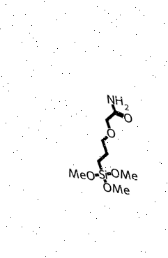 CO[Si](CCCOCC(N)=O)(OC)OC